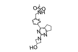 CS(=O)(=O)NCc1ccc(-c2nc(N3CC(O)C3)nc3c2CCC3)s1